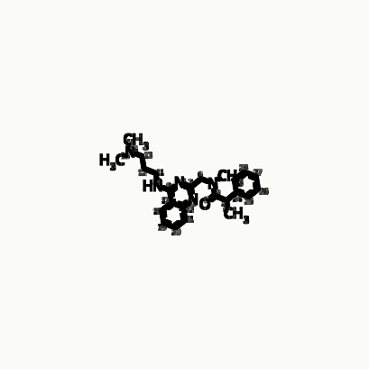 CC(C(=O)N(C)Cc1nc(NCCCN(C)C)c2ccccc2n1)c1ccccc1